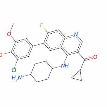 COc1cc(-c2cc3c(NC4CCC(N)CC4)c(C(=O)C4CC4)cnc3cc2F)cc(Cl)c1O